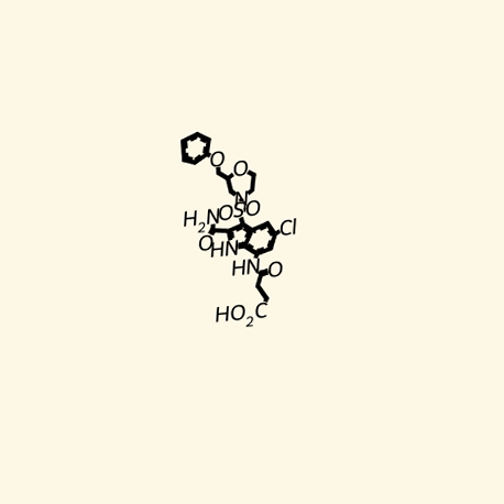 NC(=O)c1[nH]c2c(NC(=O)CCC(=O)O)cc(Cl)cc2c1S(=O)(=O)N1CCOC(COc2ccccc2)C1